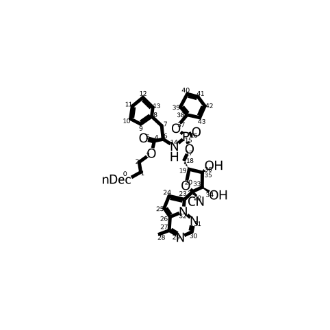 CCCCCCCCCCCCOC(=O)C(Cc1ccccc1)NP(=O)(OC[C@H]1O[C@@](C#N)(c2ccc3c(C)ncnn23)[C@H](O)[C@@H]1O)Oc1ccccc1